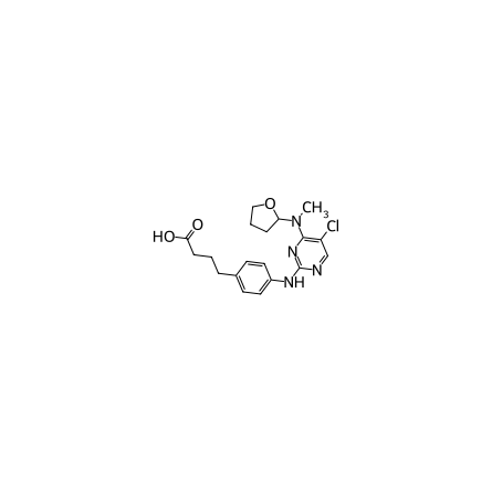 CN(c1nc(Nc2ccc(CCCC(=O)O)cc2)ncc1Cl)C1CCCO1